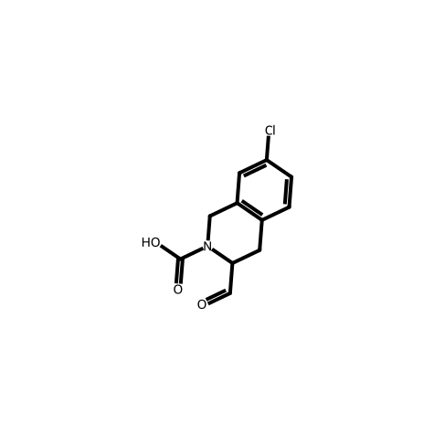 O=CC1Cc2ccc(Cl)cc2CN1C(=O)O